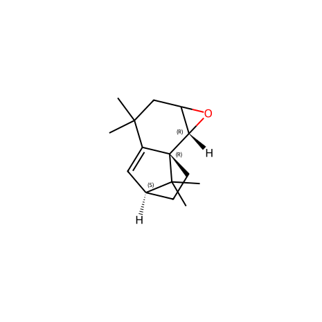 CC1(C)CC2O[C@@H]2[C@@]23CC[C@@H](C=C12)C3(C)C